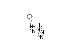 Cc1ncc(CN2CCN(CCc3ccccc3)CC2)c(N)n1